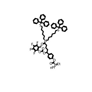 CCCN(CC)C(=O)Oc1ccc(C(CCCC(=O)N(CCCCCCSC(c2ccccc2)(c2ccccc2)c2ccccc2)CCCCCCSC(c2ccccc2)(c2ccccc2)c2ccccc2)OC(=O)Oc2c(F)c(F)c(F)c(F)c2F)cc1